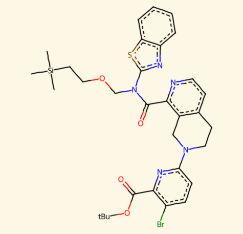 CC(C)(C)OC(=O)c1nc(N2CCc3ccnc(C(=O)N(COCC[Si](C)(C)C)c4nc5ccccc5s4)c3C2)ccc1Br